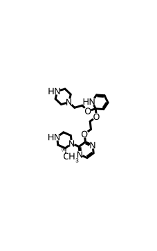 C[C@@H]1CNCCN1c1nccnc1OCCOC1(OCCN2CCNCC2)C=CC=CN1